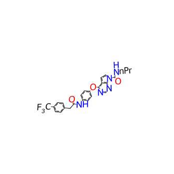 CCCNC(=O)n1ccc2c(Oc3ccc(NC(=O)Cc4ccc(C(F)(F)F)cc4)cc3)ncnc21